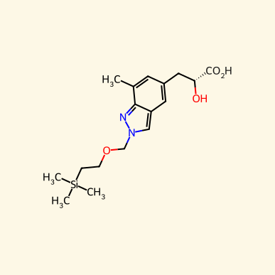 Cc1cc(C[C@@H](O)C(=O)O)cc2cn(COCC[Si](C)(C)C)nc12